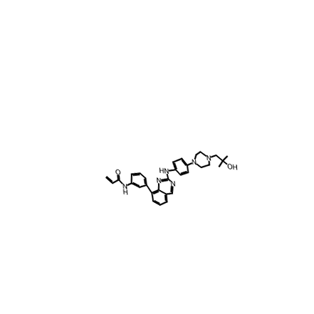 C=CC(=O)Nc1cccc(-c2cccc3cnc(Nc4ccc(N5CCN(CC(C)(C)O)CC5)cc4)nc23)c1